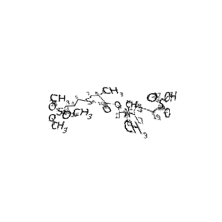 CO[Si](CCCSCC(C)C(=O)OC[N+](C)(C)CCCS(=O)(=O)O)(OC)OC